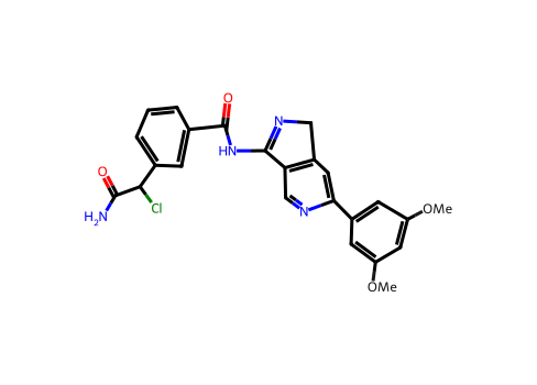 COc1cc(OC)cc(-c2cc3c(cn2)C(NC(=O)c2cccc(C(Cl)C(N)=O)c2)=NC3)c1